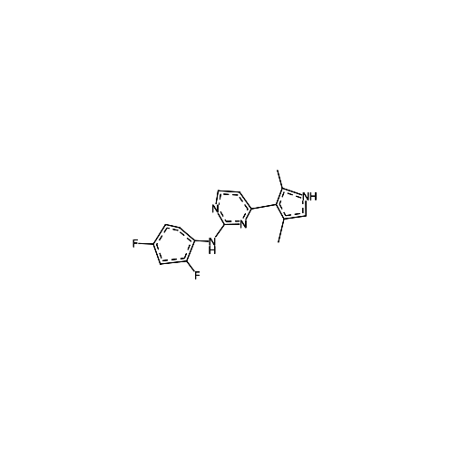 Cc1c[nH]c(C)c1-c1ccnc(Nc2ccc(F)cc2F)n1